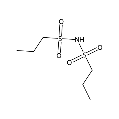 CCCS(=O)(=O)NS(=O)(=O)CCC